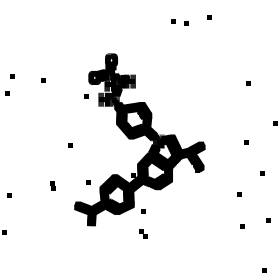 CC(C)c1ccc(-c2ccc3c(C(C)C)cn(-c4ccc(NN[SH](=O)=O)cc4)c3c2)cc1